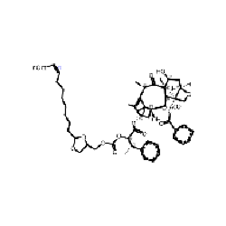 CCCCCCCC/C=C\CCCCCCCC1OCC(COC(=O)O[C@@H](C(=O)O[C@H]2C[C@@]3(O)[C@@H](OC(=O)c4ccccc4)[C@@H]4[C@]5(OC(C)=O)CO[C@@H]5C[C@H](O)[C@@]4(C)C(=O)[C@H](C)C(=C2C)C3(C)C)[C@@H](C)c2ccccc2)O1